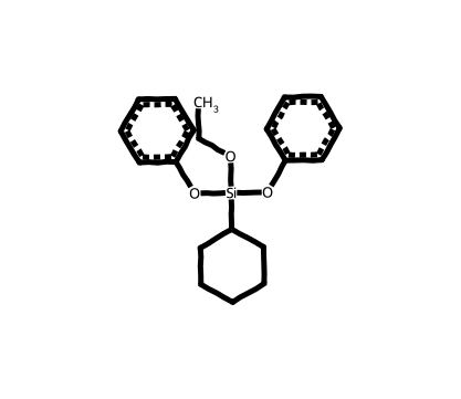 CCO[Si](Oc1ccccc1)(Oc1ccccc1)C1CCCCC1